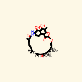 CO[C@H]1/C=C/O[C@@]2(C)Oc3c(C)c(O)c4c(O)c(ccc4c3C2=O)NC(=O)/C(C)=C\C=C\[C@H](C)C[C@@H](C)[C@@H](O)[C@@H](C)[C@H](OC(C)=O)[C@@H]1C